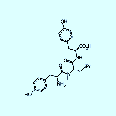 CC(C)C[C@H](NC(=O)[C@@H](N)Cc1ccc(O)cc1)C(=O)N[C@@H](Cc1ccc(O)cc1)C(=O)O